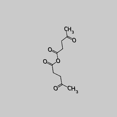 CC(=O)CCC(=O)OC(=O)CCC(C)=O